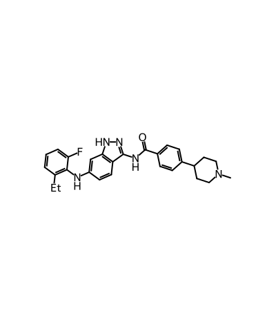 CCc1cccc(F)c1Nc1ccc2c(NC(=O)c3ccc(C4CCN(C)CC4)cc3)n[nH]c2c1